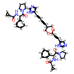 O=C(N[C@H](C(=O)N1CCC[C@H]1c1ncc(C#CC#CC2COC(C#Cc3cnc([C@@H]4CCCN4C(=O)[C@@H](NC(=O)C4CC4)c4ccccc4)[nH]3)OC2)[nH]1)c1ccccc1)C1CC1